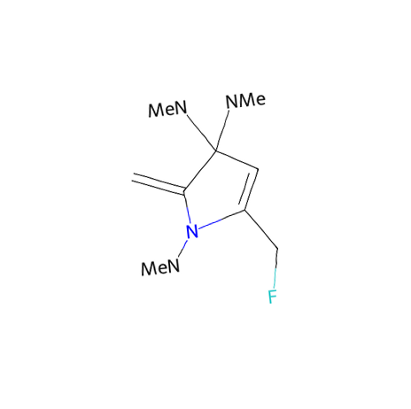 C=C1N(NC)C(CF)=CC1(NC)NC